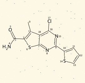 Cc1c(C(N)=O)sc2nc(-c3cccs3)nc(Cl)c12